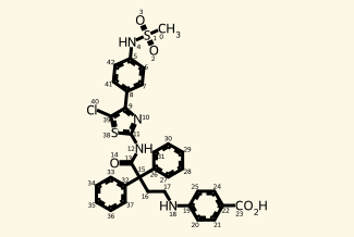 CS(=O)(=O)Nc1ccc(-c2nc(NC(=O)C(CCNc3ccc(C(=O)O)cc3)(c3ccccc3)c3ccccc3)sc2Cl)cc1